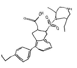 CCc1ccc(-c2cccc3c2CC(C(=O)O)C3S(=O)(=O)N2C(C)CNCC2C)cc1